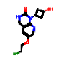 O=C1NCc2cc(OCCBr)cnc2N1[C@H]1C[C@@H](O)C1